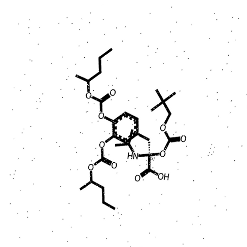 CCCC(C)OC(=O)Oc1ccc(C[C@](NC(C)C)(OC(=O)OCC(C)(C)C)C(=O)O)cc1OC(=O)OC(C)CCC